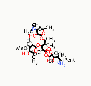 CCC[C@@H](C)[C@H](N)[C@H](C)[C@@H](O)[C@](C)(O)[C@@H](CC)OC(=O)[C@H](C)[C@@H](O[C@H]1C[C@@](C)(OC)[C@@H](O)[C@H](C)O1)[C@H](C)[C@H](C)O[C@@H]1O[C@H](C)C[C@H](N(C)C)[C@H]1O